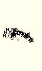 CC(C)n1nc(-c2ccc(CC(=O)Nc3cc(CC4CCCC4)on3)cc2)c(C(N)=O)c1N